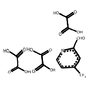 O=C(O)C(=O)O.O=C(O)C(=O)O.O=C(O)C(=O)O.O=Cc1cc(C(F)(F)F)ccn1